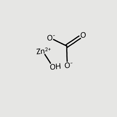 O=C([O-])[O-].[OH][Zn+2]